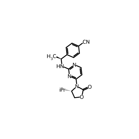 CC(C)[C@H]1COC(=O)N1c1ccnc(N[C@@H](C)c2ccc(C#N)cc2)n1